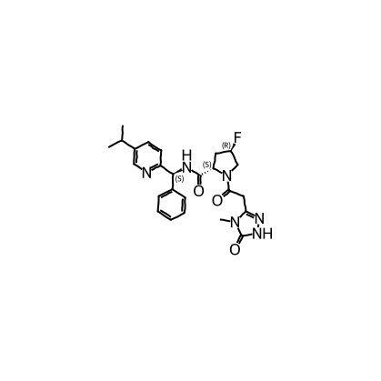 CC(C)c1ccc([C@@H](NC(=O)[C@@H]2C[C@@H](F)CN2C(=O)Cc2n[nH]c(=O)n2C)c2ccccc2)nc1